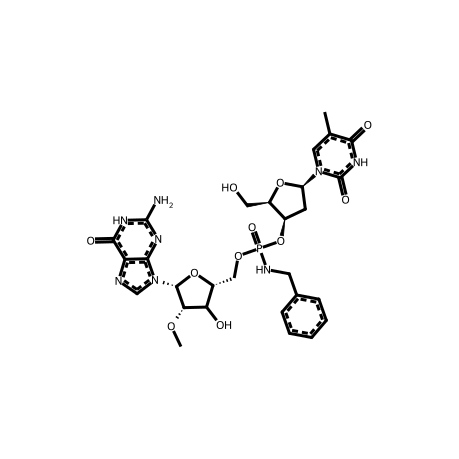 CO[C@H]1C(O)[C@@H](COP(=O)(NCc2ccccc2)O[C@@H]2C[C@H](n3cc(C)c(=O)[nH]c3=O)O[C@@H]2CO)O[C@H]1n1cnc2c(=O)[nH]c(N)nc21